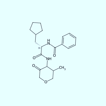 CC1COCC(=O)C1NC(=O)[C@H](CC1CCCC1)NC(=O)c1ccccc1